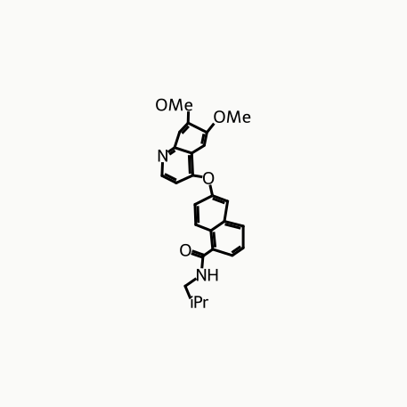 COc1cc2nccc(Oc3ccc4c(C(=O)NCC(C)C)cccc4c3)c2cc1OC